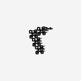 [O-][Cl+3]([O-])([O-])[O-].[O-][Cl+3]([O-])([O-])[O-].[O-][Cl+3]([O-])([O-])[O-].[O-][Cl+3]([O-])([O-])[O-].[Zr+4]